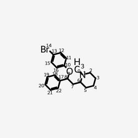 CN1CCCCC1CC(Oc1ccc(Br)cc1)c1ccccc1